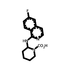 O=C(O)N1CCCCC1Nc1nccc2cc(F)ccc12